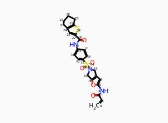 C=CC(=O)Nc1cc2c(o1)CN(S(=O)(=O)c1ccc(NC(=O)c3cc4c(s3)CCCC4)cc1)C2